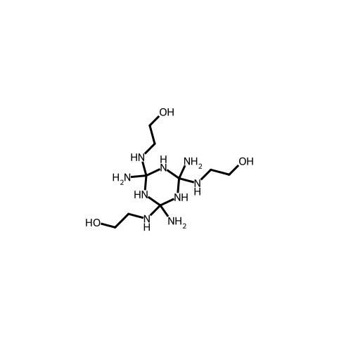 NC1(NCCO)NC(N)(NCCO)NC(N)(NCCO)N1